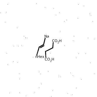 CCCCCCC=[CH][Na].O=C(O)CCC(=O)O